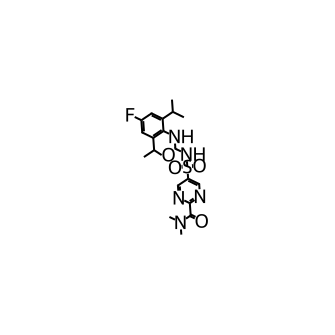 CC(C)c1cc(F)cc(C(C)C)c1NC(=O)NS(=O)(=O)c1cnc(C(=O)N(C)C)nc1